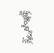 C[C@@H](CC(F)(F)F)NC(=O)O[C@H]1CO[C@H](c2cnc(Nc3ccc(S(=O)(=O)NC(=O)OC(C)(C)C)cc3)nc2)C1